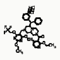 CCOc1nc(OC)c(CN2CC3CN(C(=O)c4cccnc4OCC)CCN3C(C(c3ccccc3)c3ccccc3)C2)c(OCC(F)(F)F)n1.Cl.Cl.Cl